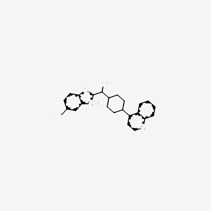 CC(c1nc2ccc(Cl)cc2[nH]1)C1CCC(c2ccnc3ccccc23)CC1